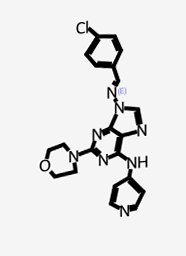 Clc1ccc(/C=N/n2cnc3c(Nc4ccncc4)nc(N4CCOCC4)nc32)cc1